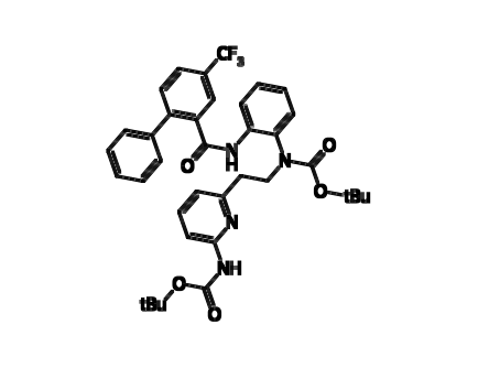 CC(C)(C)OC(=O)Nc1cccc(CCN(C(=O)OC(C)(C)C)c2ccccc2NC(=O)c2cc(C(F)(F)F)ccc2-c2ccccc2)n1